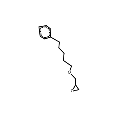 [CH](CCCCc1ccccc1)OCC1CO1